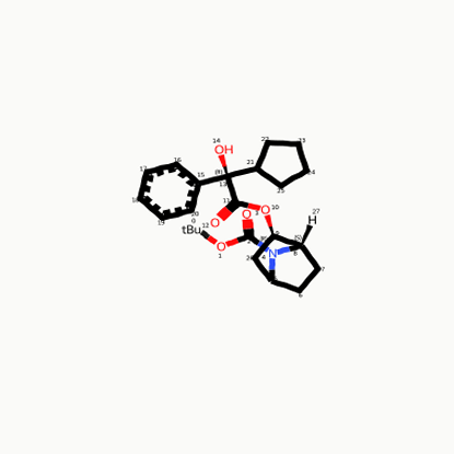 CC(C)(C)OC(=O)N1C2CC[C@H]1[C@H](OC(=O)[C@](O)(c1ccccc1)C1CCCC1)C2